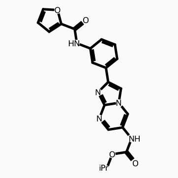 CC(C)OC(=O)Nc1cnc2nc(-c3cccc(NC(=O)c4ccco4)c3)cn2c1